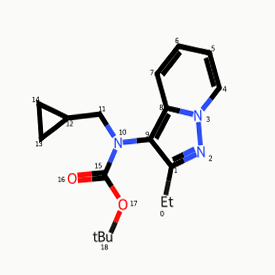 CCc1nn2ccccc2c1N(CC1CC1)C(=O)OC(C)(C)C